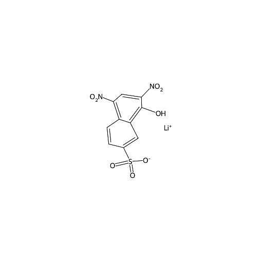 O=[N+]([O-])c1cc([N+](=O)[O-])c2ccc(S(=O)(=O)[O-])cc2c1O.[Li+]